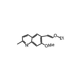 CCOC=Cc1cc2ccc(C)nc2cc1OC